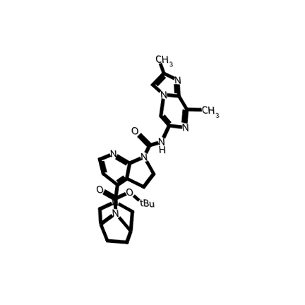 Cc1cn2cc(NC(=O)N3CCc4c(N5CC6CCC(C5)N6C(=O)OC(C)(C)C)ccnc43)nc(C)c2n1